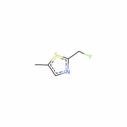 Cc1cnc(CF)s1